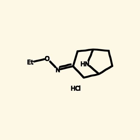 CCON=C1CC2CCC(C1)N2.Cl